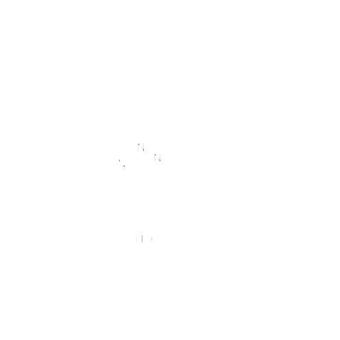 OCC=Cc1ccc2ncnc(Nc3ccc(Cc4ccccc4)cc3)c2c1